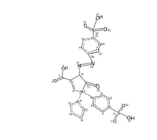 O=C(O)C1=C[N+](c2ccc(S(=O)(=O)O)cc2)(n2cccc2)C(=O)C1N=Nc1ccc(S(=O)(=O)O)cc1